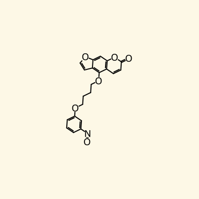 O=Nc1cccc(OCCCCOc2c3ccoc3cc3oc(=O)ccc23)c1